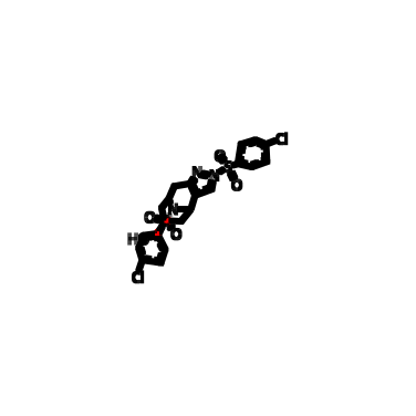 O=S(=O)(c1ccc(Cl)cc1)N1C2Cc3nn(S(=O)(=O)c4ccc(Cl)cc4)cc3C1CC(CO)C2